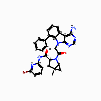 C[C@]12CC1N(C(=O)Cn1c3ncnc(N)c3c3cccc(-c4ccccc4)c31)[C@H](C(=O)Nc1cccc(Br)n1)C2